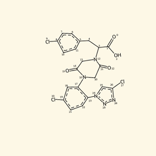 O=C(O)C(Cc1ccc(Cl)cc1)N1CC(=O)N(c2cc(Cl)ccc2-n2cc(Cl)nn2)CC1=O